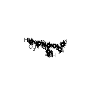 CC1(C)CCC(CN2CCN(c3ccc(C(=O)NS(=O)(=O)c4ccc(NCC5CNCCO5)c([N+](=O)[O-])c4)c(Oc4cnc5[nH]ccc5c4)c3)CC2)=C(c2ccc(Cl)cc2)C1